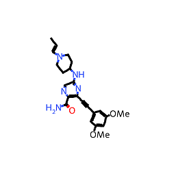 CC=CN1CCC(Nc2cnc(C(N)=O)c(C#Cc3cc(OC)cc(OC)c3)n2)CC1